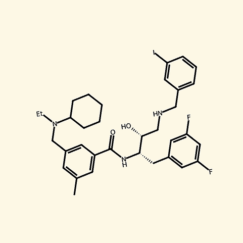 CCN(Cc1cc(C)cc(C(=O)N[C@@H](Cc2cc(F)cc(F)c2)[C@H](O)CNCc2cccc(I)c2)c1)C1CCCCC1